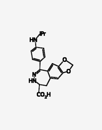 CC(C)Nc1ccc(C2=NNC(C(=O)O)Cc3cc4c(cc32)OCO4)cc1